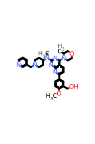 COc1ccc(-c2ccc3c(N4CCOCC4C)nc(N(C)C4CCN(Cc5cccnc5)CC4)nc3n2)cc1CO